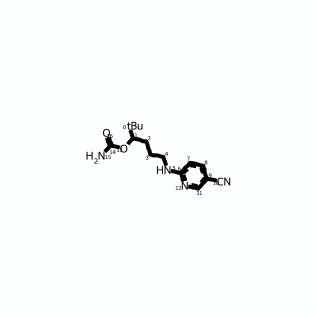 CC(C)(C)C(CCCNc1ccc(C#N)cn1)OC(N)=O